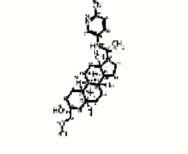 CCOC[C@@]1(O)CC[C@H]2[C@H](CC[C@@H]3[C@@H]2CC[C@]2(C)[C@@H]([C@@H](C)Nc4ccc(C#N)nc4)CC[C@@H]32)C1